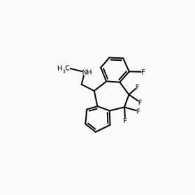 CNCC1c2ccccc2C(F)(F)C(F)(F)c2c(F)cccc21